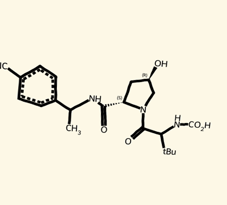 CC(NC(=O)[C@@H]1C[C@@H](O)CN1C(=O)C(NC(=O)O)C(C)(C)C)c1ccc(C#N)cc1